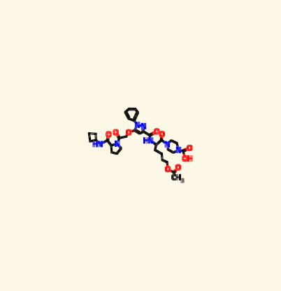 CC(=O)OCCCCC(NC(=O)c1cc(OCC(=O)N2CCCC2C(=O)NC2CCC2)n(-c2ccccc2)n1)C(=O)N1CCN(C(=O)O)CC1